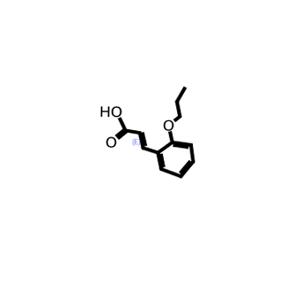 CCCOc1ccccc1/C=C/C(=O)O